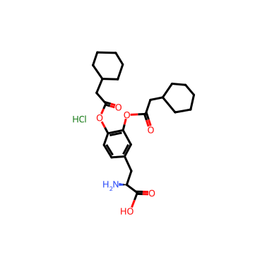 Cl.N[C@@H](Cc1ccc(OC(=O)CC2CCCCC2)c(OC(=O)CC2CCCCC2)c1)C(=O)O